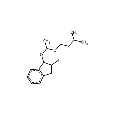 CC(C)CCOC(C)OC1c2ccccc2CC1I